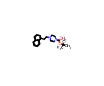 CC(C)(C)OC(=O)N1CCN(CCc2cccc3ccccc23)CC1